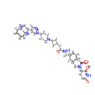 O=C(CC1CC(N2CCC(n3cc(-c4cnc5ccccc5n4)cn3)CC2)C1)NCc1ccc2c(c1)CN(C1CCC(=O)NC1=O)C2=O